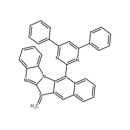 C=[Si]1c2cc3ccccc3c(-c3nc(-c4ccccc4)cc(-c4ccccc4)n3)c2-n2c1nc1ccccc12